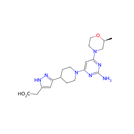 C[C@H]1CN(c2cc(N3CCC(c4cc(CC(=O)O)[nH]n4)CC3)nc(N)n2)CCO1